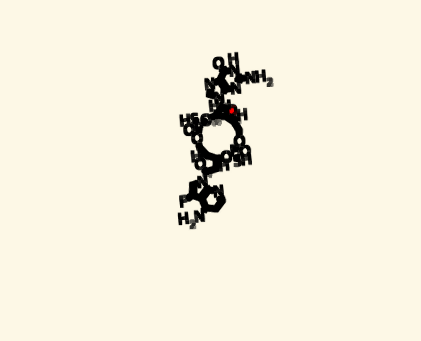 Nc1nc2c(ncn2[C@@H]2O[C@@H]3COP(=O)(S)O[C@H]4C[C@H](n5cc(F)c6c5N=CCC6N)O[C@@H]4COP(=O)(S)O[C@@H]2[C@@H]3F)c(=O)[nH]1